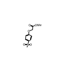 COC(=O)COc1ccc(S(C)(=O)=O)cc1